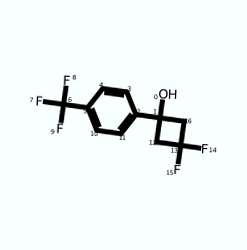 OC1(c2ccc(C(F)(F)F)cc2)CC(F)(F)C1